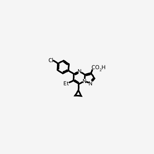 CCc1c(-c2ccc(Cl)cc2)nc2c(C(=O)O)cnn2c1C1CC1